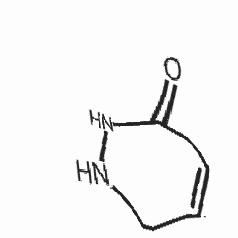 O=C1C=[C]CNN1